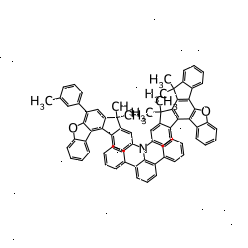 Cc1cccc(-c2cc3c(c4c2oc2ccccc24)-c2ccc(N(c4ccc5c(c4)C(C)(C)c4c6c(c7oc8ccccc8c7c4-5)-c4ccccc4C6(C)C)c4c(-c5ccccc5)cccc4-c4ccccc4)cc2C3(C)C)c1